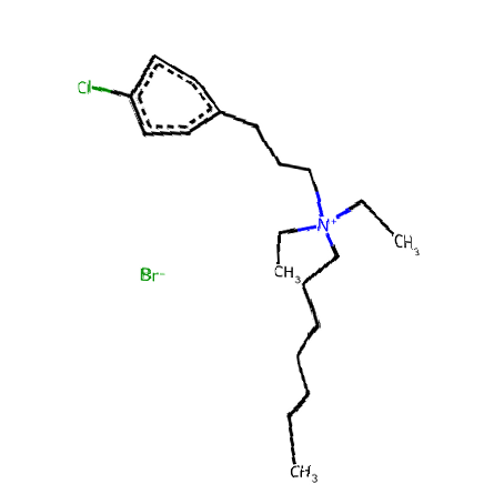 CCCCCCC[N+](CC)(CC)CCCc1ccc(Cl)cc1.[Br-]